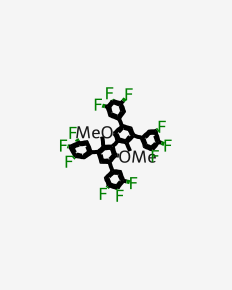 COc1c(-c2cc(F)c(F)c(F)c2)cc(-c2cc(F)c(F)c(F)c2)c(C)c1-c1c(C)c(-c2cc(F)c(F)c(F)c2)cc(-c2cc(F)c(F)c(F)c2)c1OC